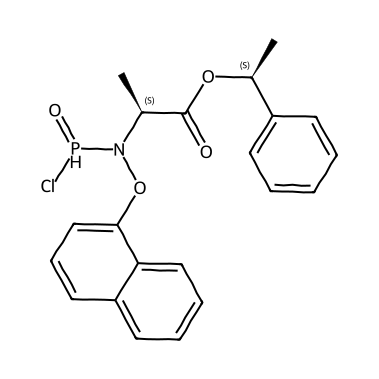 C[C@H](OC(=O)[C@H](C)N(Oc1cccc2ccccc12)[PH](=O)Cl)c1ccccc1